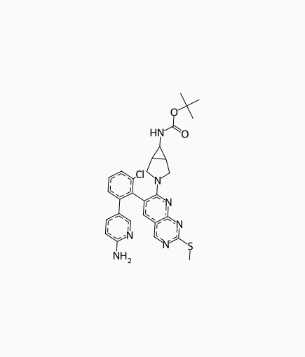 CSc1ncc2cc(-c3c(Cl)cccc3-c3ccc(N)nc3)c(N3CC4C(C3)C4NC(=O)OC(C)(C)C)nc2n1